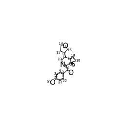 COc1ccc(C(=O)C2=NCC(C3CCOC3)c3ccsc32)cc1